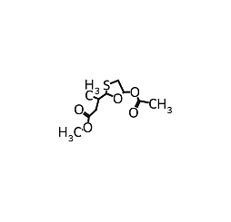 COC(=O)CC(C)C1OC(OC(C)=O)CS1